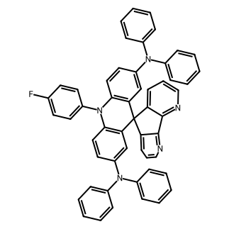 Fc1ccc(N2c3ccc(N(c4ccccc4)c4ccccc4)cc3C3(c4cc(N(c5ccccc5)c5ccccc5)ccc42)c2cccnc2-c2ncccc23)cc1